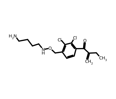 C=C(CC)C(=O)c1ccc(CONCCCCN)c(Cl)c1Cl